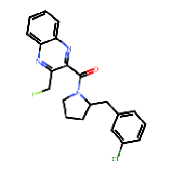 O=C(c1nc2ccccc2nc1CF)N1CCCC1Cc1cccc(Cl)c1